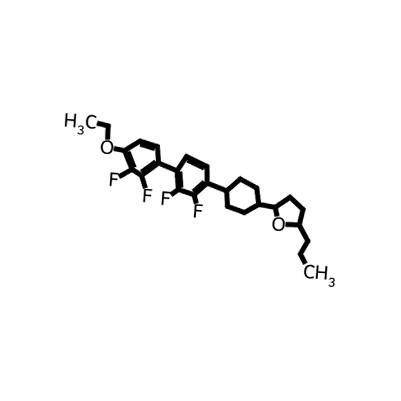 CCCC1CCC(C2CCC(c3ccc(-c4ccc(OCC)c(F)c4F)c(F)c3F)CC2)O1